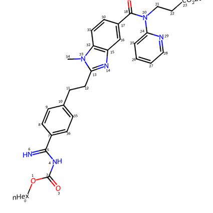 CCCCCCOC(=O)NC(=N)c1ccc(CCc2nc3cc(C(=O)N(CCC(=O)OCC)c4ccccn4)ccc3n2C)cc1